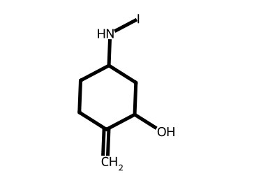 C=C1CCC(NI)CC1O